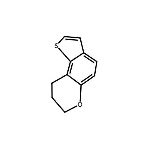 c1cc2ccc3c(c2s1)CCCO3